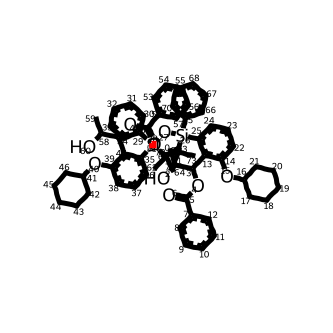 CC(O)C(OC(=O)c1ccccc1)c1c(OC2CCCCC2)cccc1[Si](O[Si](c1ccccc1)(c1cccc(OC2CCCCC2)c1C(OC(=O)c1ccccc1)C(C)O)C(C)(C)C)(c1ccccc1)C(C)(C)C